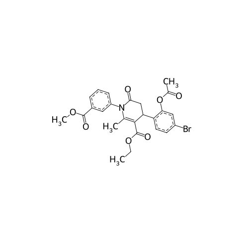 CCOC(=O)C1=C(C)N(c2cccc(C(=O)OC)c2)C(=O)CC1c1ccc(Br)cc1OC(C)=O